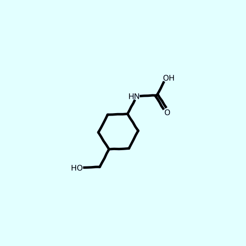 O=C(O)NC1CCC(CO)CC1